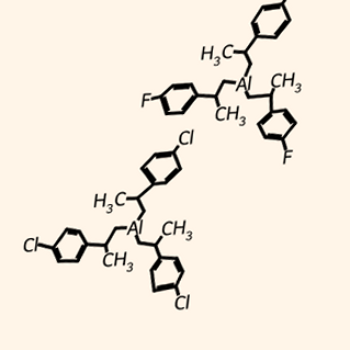 CC([CH2][Al]([CH2]C(C)c1ccc(Cl)cc1)[CH2]C(C)c1ccc(Cl)cc1)c1ccc(Cl)cc1.CC([CH2][Al]([CH2]C(C)c1ccc(F)cc1)[CH2]C(C)c1ccc(F)cc1)c1ccc(F)cc1